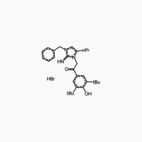 Br.CCCc1cn(Cc2ccccc2)c(=N)n1CC(=O)c1cc(C(C)(C)C)c(O)c(C(C)(C)C)c1